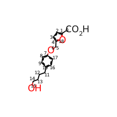 O=C(O)c1ccc(COc2ccc(CCCCO)cc2)o1